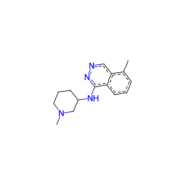 Cc1cccc2c(NC3CCCN(C)C3)nncc12